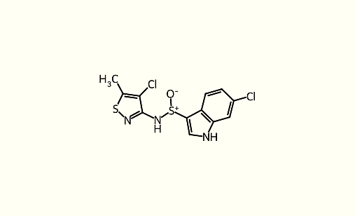 Cc1snc(N[S+]([O-])c2c[nH]c3cc(Cl)ccc23)c1Cl